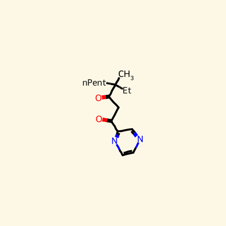 CCCCCC(C)(CC)C(=O)CC(=O)c1cnccn1